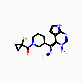 C=N/C(=C1/c2cc[nH]c2N=CN1N)C1CCCN(C(=O)C2(C#N)CC2)C1